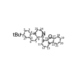 CC(C)(C)c1ccc2c(ccc3c(-c4cccc5c4oc4ccccc45)nccc32)c1